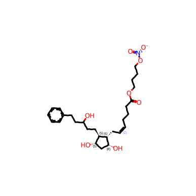 O=C(CCC/C=C\C[C@H]1[C@H](CCC(O)CCc2ccccc2)[C@@H](O)C[C@H]1O)OCCCCO[N+](=O)[O-]